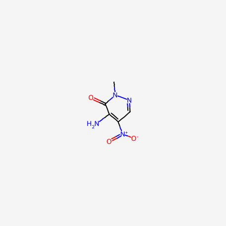 Cn1ncc([N+](=O)[O-])c(N)c1=O